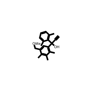 C#CC(O)(c1cc(COC)c(C)c(C)c1C)c1c(C)cccc1C